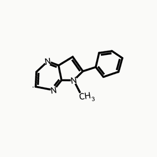 Cn1c(-c2ccccc2)cc2nc[c]nc21